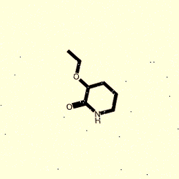 CCOC1CCCNC1=O